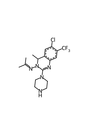 CC(C)=NN1C(N2CCNCC2)=Nc2cc(C(F)(F)F)c(Cl)cc2C1C